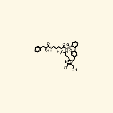 CCCCc1nc(Cl)c(CO)n1Cc1ccc(-c2ccccc2S(=O)(=O)NC(=O)CCCCNC(=O)[C@@H](S)Cc2ccccc2)cc1